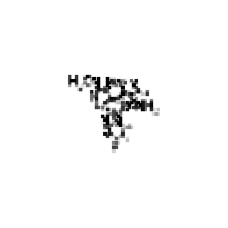 CNc1ncc(-c2nc3cc(F)ccn3n2)c2cc(C3(C(N)=O)CC3)ncc12